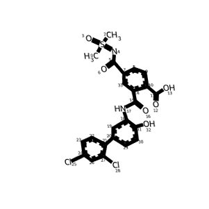 CS(C)(=O)=NC(=O)c1ccc(C(=O)O)c(C(=O)Nc2cc(-c3ccc(Cl)cc3Cl)ccc2O)c1